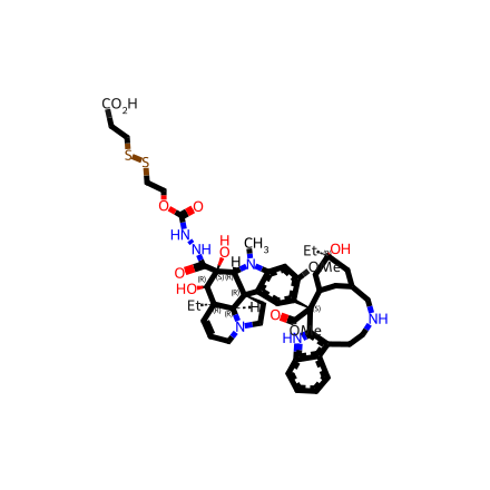 CC[C@]1(O)CC2CNCCc3c([nH]c4ccccc34)[C@@](C(=O)OC)(c3cc4c(cc3OC)N(C)[C@H]3[C@@](O)(C(=O)NNC(=O)OCCSSCCC(=O)O)[C@H](O)[C@]5(CC)C=CCN6CC[C@]43[C@@H]65)C(C2)C1